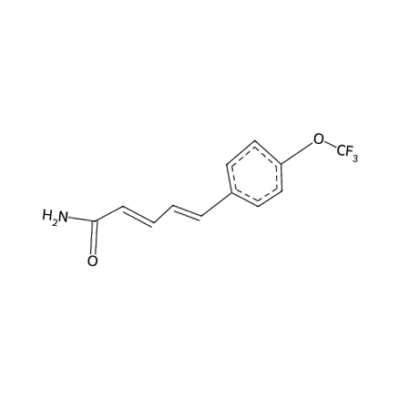 NC(=O)C=CC=Cc1ccc(OC(F)(F)F)cc1